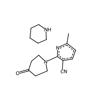 C1CCNCC1.Cc1ccc(C#N)c(N2CCC(=O)CC2)n1